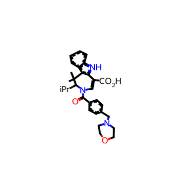 CC(C)C1N(C(=O)c2ccc(CN3CCOCC3)cc2)C=C(C(=O)O)c2[nH]c3ccccc3c2C1(C)C